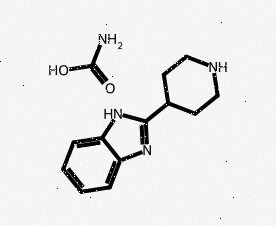 NC(=O)O.c1ccc2[nH]c(C3CCNCC3)nc2c1